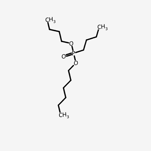 CCCCCCOP(=O)(CCCC)OCCCC